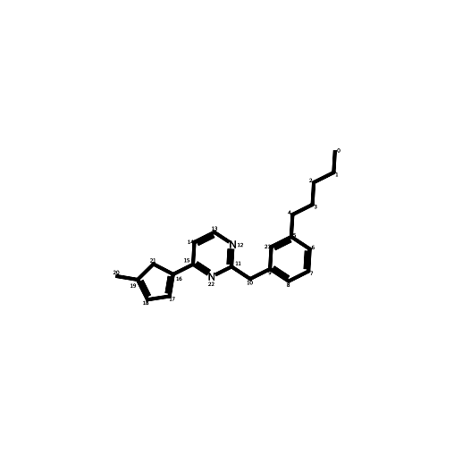 CCCCCc1cccc(Cc2nccc(C3=CC=C(C)C3)n2)c1